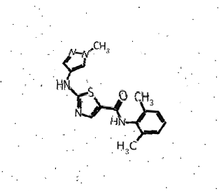 Cc1cccc(C)c1NC(=O)c1cnc(Nc2cnn(C)c2)s1